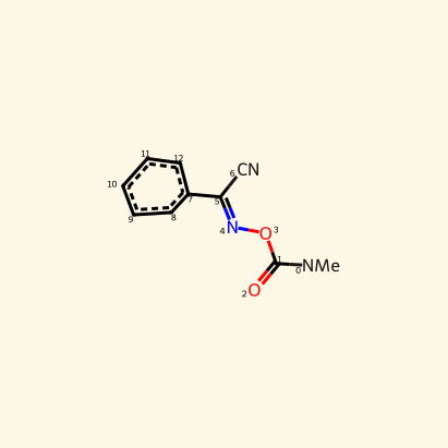 CNC(=O)O/N=C(\C#N)c1ccccc1